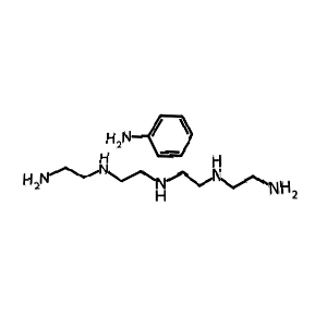 NCCNCCNCCNCCN.Nc1ccccc1